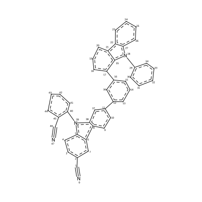 N#Cc1ccc2c(c1)c1ccc(-c3cccc(-c4cccc5c6ccccc6n(-c6ccccc6)c45)c3)cc1n2-c1ccccc1C#N